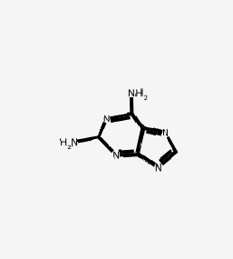 N[C]1N=C(N)C2=NC=NC2=N1